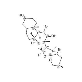 C[C@H]1CO[C@@]2(O[C@H]3C[C@H]4[C@@H]5CCC6C[C@@H](O)CC[C@]6(C)[C@H]5C(Br)[C@@H](O)[C@]4(C)[C@H]3[C@@H]2C)C(Br)C1